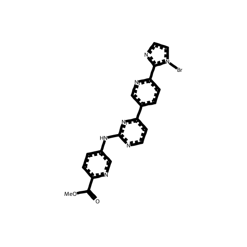 COC(=O)c1ccc(Nc2nccc(-c3ccc(-c4nccn4Br)nc3)n2)cn1